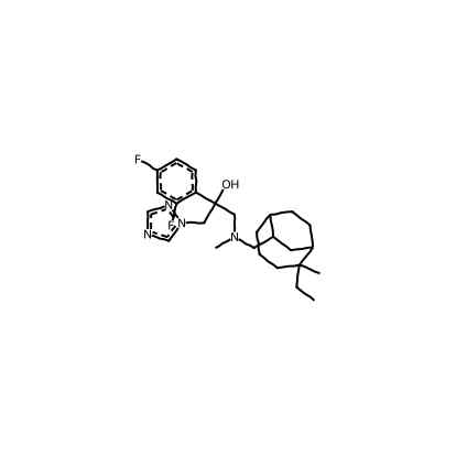 CCC1(C)CCCC2CCC1CC2CN(C)CC(O)(Cn1cncn1)c1ccc(F)cc1F